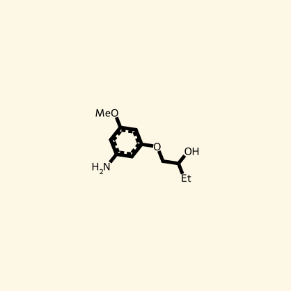 CCC(O)COc1cc(N)cc(OC)c1